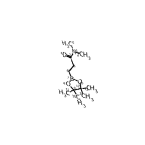 CN(C)C(=O)CCB1OC(C)(C)C(C)(C)O1